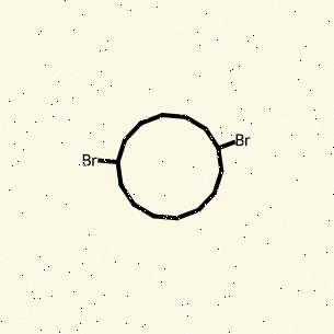 BrC1CCCCCCCC(Br)CCCCC1